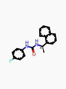 C[C@@H](NC(=O)Nc1ccc(F)cc1)c1cccc2ccccc12